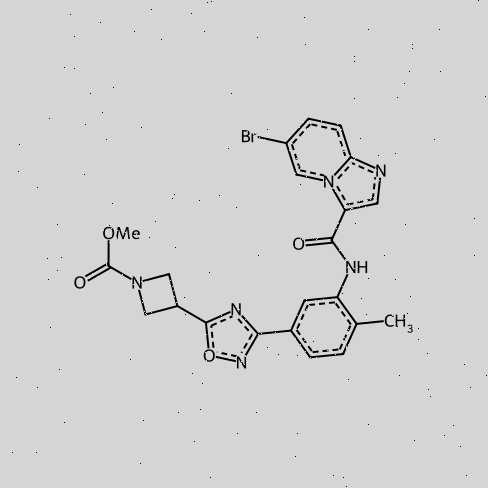 COC(=O)N1CC(c2nc(-c3ccc(C)c(NC(=O)c4cnc5ccc(Br)cn45)c3)no2)C1